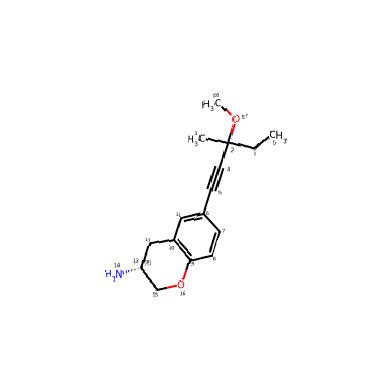 CCC(C)(C#Cc1ccc2c(c1)C[C@@H](N)CO2)OC